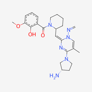 C=NN1C=C(C)C(N2CC[C@H](N)C2)=N/C1=C/C1CCCCN1C(=O)c1cccc(OC)c1O